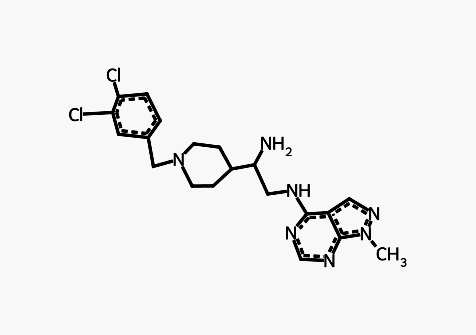 Cn1ncc2c(NCC(N)C3CCN(Cc4ccc(Cl)c(Cl)c4)CC3)ncnc21